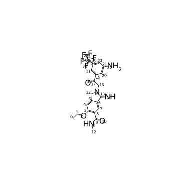 CCOc1cc2c(cc1C(=O)NC)C(=N)N(CC(=O)c1cc(N)cc(S(F)(F)(F)(F)F)c1)C2